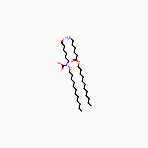 CCCCCCCCCCCCOC(=O)CCCCCN.CCCCCCCCCCCCON(CCCCCC=O)C(=O)O